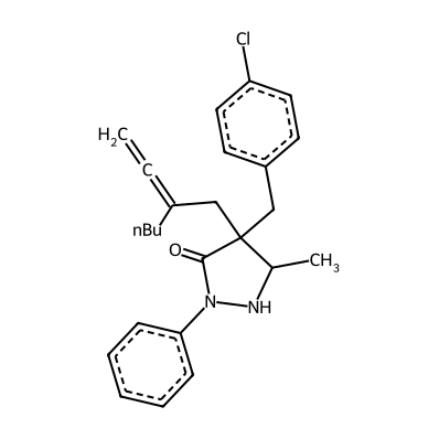 C=C=C(CCCC)CC1(Cc2ccc(Cl)cc2)C(=O)N(c2ccccc2)NC1C